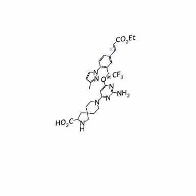 CCOC(=O)/C=C/c1ccc(-n2ccc(C)n2)c([C@@H](Oc2cc(N3CCC4(CC3)CNC(C(=O)O)C4)nc(N)n2)C(F)(F)F)c1